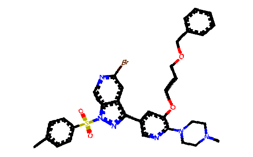 Cc1ccc(S(=O)(=O)n2nc(-c3cnc(N4CCN(C)CC4)c(OCCCOCc4ccccc4)c3)c3cc(Br)ncc32)cc1